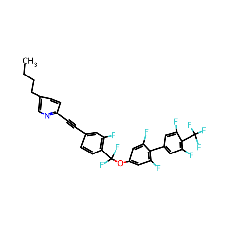 CCCCc1ccc(C#Cc2ccc(C(F)(F)Oc3cc(F)c(-c4cc(F)c(C(F)(F)F)c(F)c4)c(F)c3)c(F)c2)nc1